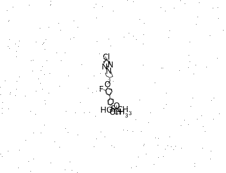 CC1(C)Oc2cc(-c3ccc(OCC4CCN(c5ncc(Cl)cn5)CC4)c(F)c3)ccc2S1(O)O